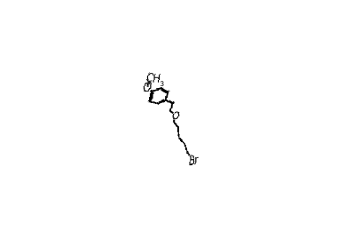 COc1ccc(CCOCCCCCBr)cc1